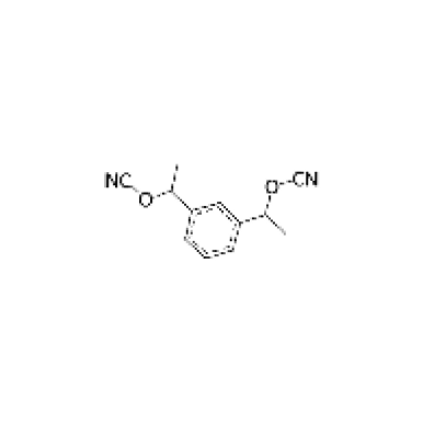 CC(OC#N)c1cccc(C(C)OC#N)c1